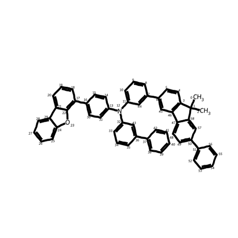 CC1(C)c2ccc(-c3cccc(N(c4ccc(-c5cccc6c5oc5ccccc56)cc4)c4cccc(-c5ccccc5)c4)c3)cc2-c2ccc(-c3ccccc3)cc21